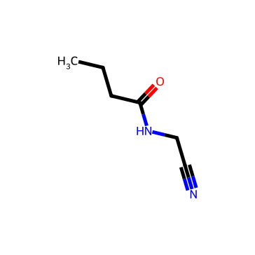 CCCC(=O)NCC#N